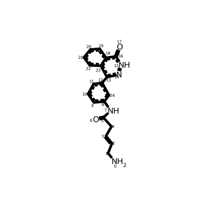 NCC=CCC(=O)Nc1cccc(-c2n[nH]c(=O)c3ccccc23)c1